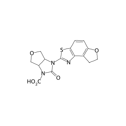 O=C(O)N1C(=O)N(c2nc3c4c(ccc3s2)OCC4)C2COCC21